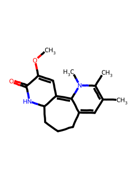 COC1=CC2=C3C(=CC(C)=C(C)N3C)CCCC2NC1=O